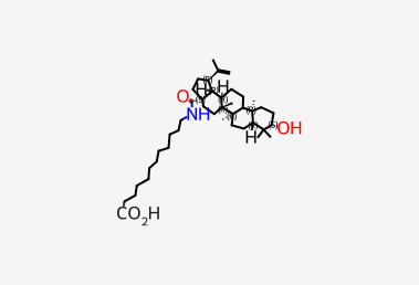 C=C(C)[C@@H]1CC[C@]2(C(=O)NCCCCCCCCCCCC(=O)O)CC[C@]3(C)[C@H](CCC4[C@@]5(C)CC[C@H](O)C(C)(C)[C@@H]5CC[C@]43C)[C@@H]12